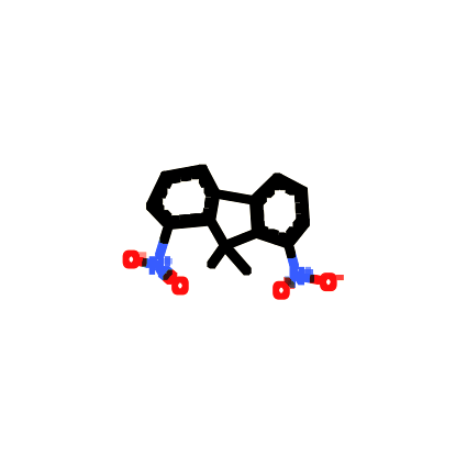 CC1(C)c2c(cccc2[N+](=O)[O-])-c2cccc([N+](=O)[O-])c21